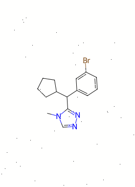 Cn1cnnc1C(c1cccc(Br)c1)C1CCCC1